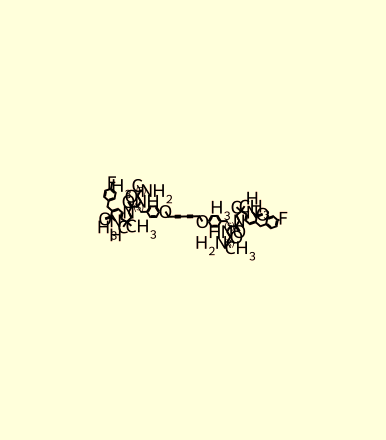 C[C@@H](N)C(=O)N[C@@H](Cc1ccc(OCC#CC#CCOc2ccc(C[C@H](NC(=O)[C@@H](C)N)C(=O)N3CC(C)(C)c4[nH]c(=O)c(Cc5ccc(F)cc5)cc43)cc2)cc1)C(=O)N1CC(C)(C)c2[nH]c(=O)c(Cc3ccc(F)cc3)cc21